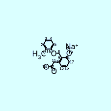 Cc1ccccc1OCC1=C(CC(=O)[O-])C=CCC1=O.[Na+]